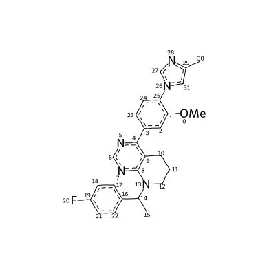 COc1cc(-c2ncnc3c2CCCN3C(C)c2ccc(F)cc2)ccc1-n1cnc(C)c1